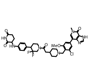 COc1cc(-c2cn(C)c(=O)c3[nH]cnc23)cc(Cl)c1CN1CCC(CC(=O)N2CCC(c3ccc(NC4CCC(=O)NC4=O)cc3)C(F)(F)C2)CC1